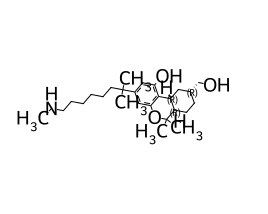 CNCCCCCCC(C)(C)c1cc(O)c2c(c1)OC(C)(C)[C@@H]1CC[C@@H](CO)C[C@@H]21